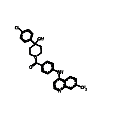 O=C(c1ccc(Nc2ccnc3cc(C(F)(F)F)ccc23)cc1)N1CCC(O)(c2ccc(Cl)cc2)CC1